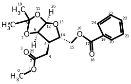 COC(=O)C[C@H]1[C@H]2OC(C)(C)O[C@H]2O[C@@H]1COC(=O)c1ccccc1